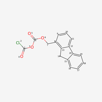 O=C(Cl)OC(=O)OCc1cccc2c1Cc1ccccc1-2